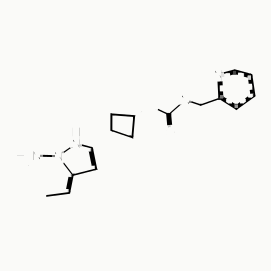 CC(C)C=C1C=C([C@H]2C[C@@H](OC(=O)NCc3ccccn3)C2)NN1N